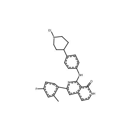 CCN1CCC(c2ccc(Nc3nc(-c4ccc(F)cc4C)cc4cc[nH]c(=O)c34)cc2)CC1